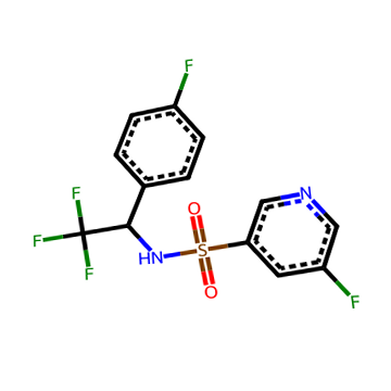 O=S(=O)(NC(c1ccc(F)cc1)C(F)(F)F)c1cncc(F)c1